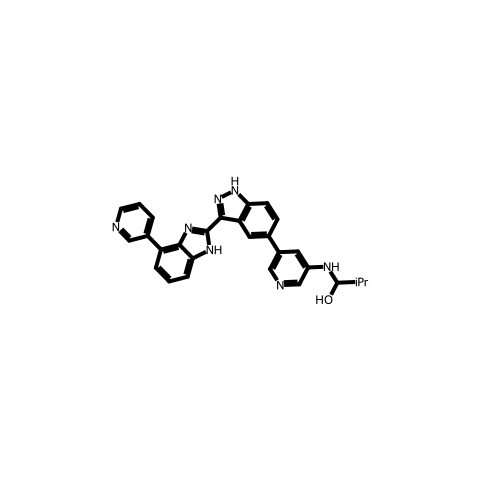 CC(C)C(O)Nc1cncc(-c2ccc3[nH]nc(-c4nc5c(-c6cccnc6)cccc5[nH]4)c3c2)c1